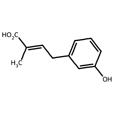 CC(=CCc1cccc(O)c1)C(=O)O